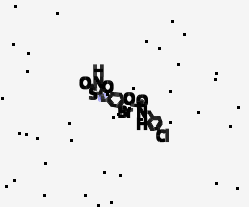 O=C(COc1ccc(/C=C2/SC(=O)NC2=O)cc1Br)NCc1ccc(Cl)cc1